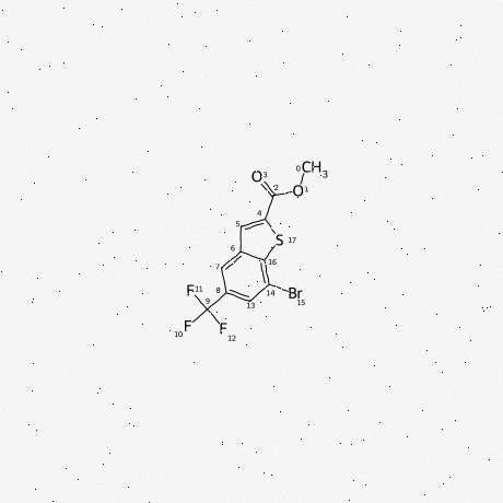 COC(=O)c1cc2cc(C(F)(F)F)cc(Br)c2s1